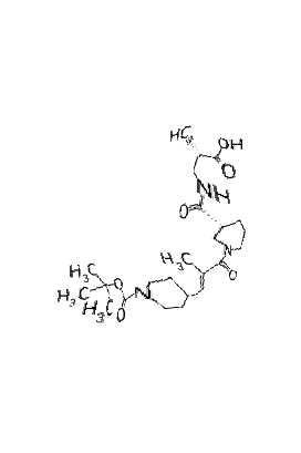 C#C[C@@H](CNC(=O)[C@@H]1CCCN(C(=O)/C(C)=C/C2CCN(C(=O)OC(C)(C)C)CC2)C1)C(=O)O